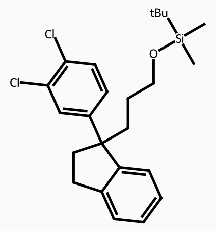 CC(C)(C)[Si](C)(C)OCCCC1(c2ccc(Cl)c(Cl)c2)CCc2ccccc21